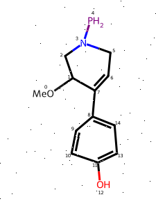 COC1CN(P)CC=C1c1ccc(O)cc1